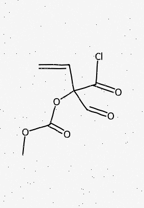 C=CC(C=O)(OC(=O)OC)C(=O)Cl